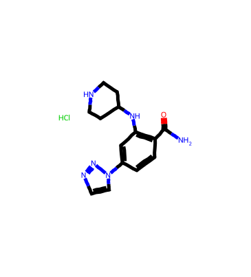 Cl.NC(=O)c1ccc(-n2ccnn2)cc1NC1CCNCC1